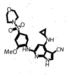 COc1cc(S(=O)(=O)N2CCOCC2)ccc1Nc1cc(NC2CC2)c2c(C#N)c[nH]c2n1